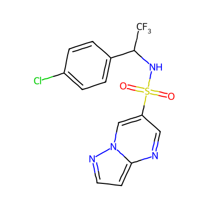 O=S(=O)(NC(c1ccc(Cl)cc1)C(F)(F)F)c1cnc2ccnn2c1